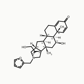 C[C@]12C=CC(=O)C=C1CC[C@@H]1[C@@H]2[C@@H](O)C[C@@]2(C)[C@H]1C[C@H]1CN(Cc3ccco3)C[C@]12C(=O)CO